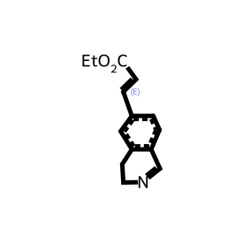 CCOC(=O)/C=C/c1ccc2c(c1)CCN=C2